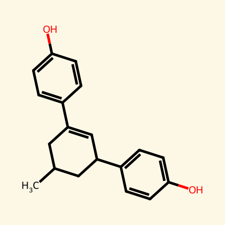 CC1CC(c2ccc(O)cc2)=CC(c2ccc(O)cc2)C1